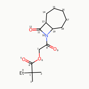 CCC(C)(C)C(=O)OCC(=O)N1C(=O)C2CCCCCC21